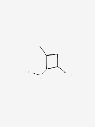 CC1CC(S)C1NS